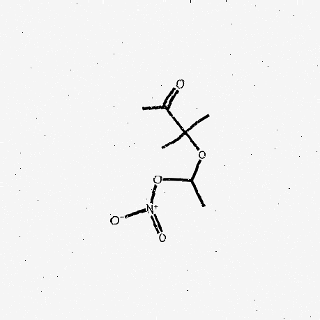 CC(=O)C(C)(C)OC(C)O[N+](=O)[O-]